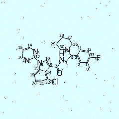 Cc1cc(C(CNC(=O)c2cn(-c3ncccn3)c3cccc(Cl)c23)N2CCCCC2)ccc1F